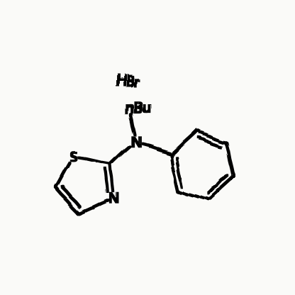 Br.CCCCN(c1ccccc1)c1nccs1